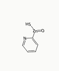 [O]=[Zn]([SH])[c]1ccccn1